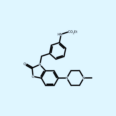 CCOC(=O)Nc1cccc(Cn2c(=O)oc3ccc(N4CCN(C)CC4)cc32)c1